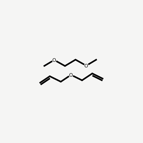 C=CCOCC=C.COCCOC